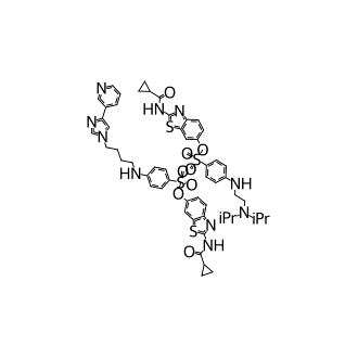 CC(C)N(CCNc1ccc(S(=O)(=O)Oc2ccc3nc(NC(=O)C4CC4)sc3c2)cc1)C(C)C.O=C(Nc1nc2ccc(OS(=O)(=O)c3ccc(NCCCCn4cnc(-c5cccnc5)c4)cc3)cc2s1)C1CC1